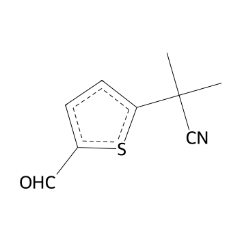 CC(C)(C#N)c1ccc(C=O)s1